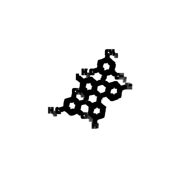 CCc1ccc2c(c1)B(c1c(C)cc(C)cc1C)c1cc(I)cc3c1N2c1ccc(CC)cc1B3c1c(C)cc(C)cc1C